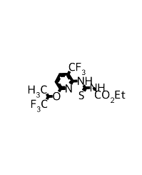 CCOC(=O)NC(=S)Nc1nc(OC(C)C(F)(F)F)ccc1C(F)(F)F